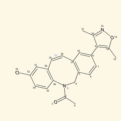 CC(=O)N1Cc2ccc(-c3c(C)noc3C)cc2/C=C\c2cc(Cl)ccc21